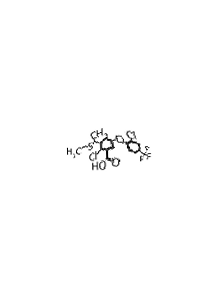 CCSC(C)c1cc(Oc2ccc(C(F)(F)F)cc2Cl)cc(C(=O)O)c1Cl